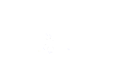 Cc1nn(C)cc1-c1cn(S)c2ncc([C@H]3CC[C@@H](N4CCOCC4)CC3)cc12